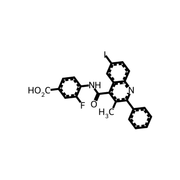 Cc1c(-c2ccccc2)nc2ccc(I)cc2c1C(=O)Nc1ccc(C(=O)O)cc1F